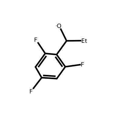 CCC([O])c1c(F)cc(F)cc1F